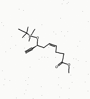 C#C[C@H](C/C=C\CCC(=O)OC)O[Si](C)(C)C(C)(C)C